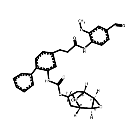 COc1cc(C=O)ccc1NC(=O)CCc1ccc(-c2ccccc2)c(NC(=O)OC2C[C@@H]3[C@H]4O[C@H]4[C@H](C2)[N+]3(C)C)c1